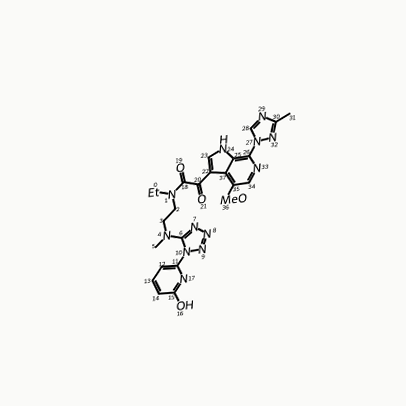 CCN(CCN(C)c1nnnn1-c1cccc(O)n1)C(=O)C(=O)c1c[nH]c2c(-n3cnc(C)n3)ncc(OC)c12